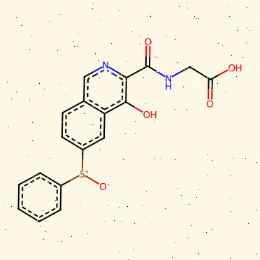 O=C(O)CNC(=O)c1ncc2ccc([S+]([O-])c3ccccc3)cc2c1O